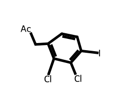 CC(=O)Cc1ccc(I)c(Cl)c1Cl